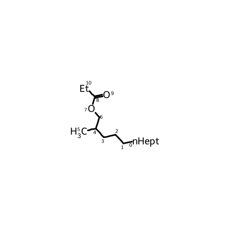 CCCCCCCCCCC(C)COC(=O)CC